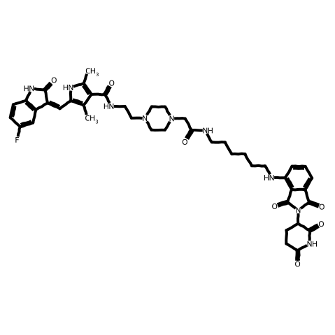 Cc1[nH]c(/C=C2\C(=O)Nc3ccc(F)cc32)c(C)c1C(=O)NCCN1CCN(CC(=O)NCCCCCCNc2cccc3c2C(=O)N(C2CCC(=O)NC2=O)C3=O)CC1